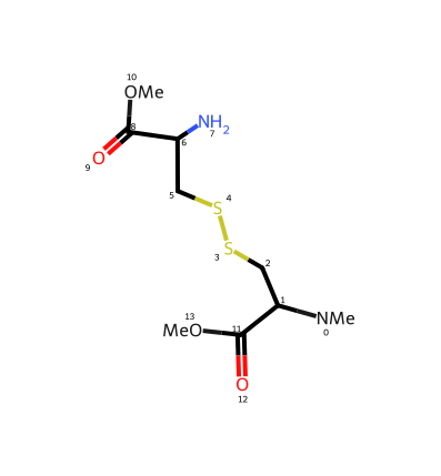 CNC(CSSCC(N)C(=O)OC)C(=O)OC